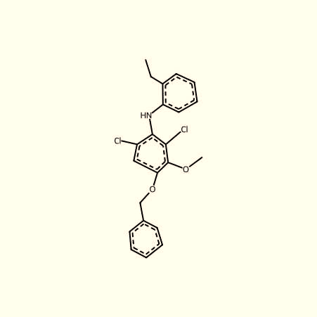 CCc1ccccc1Nc1c(Cl)cc(OCc2ccccc2)c(OC)c1Cl